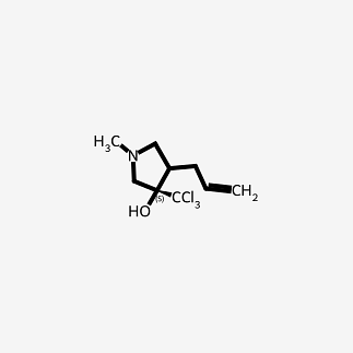 C=CCC1CN(C)C[C@]1(O)C(Cl)(Cl)Cl